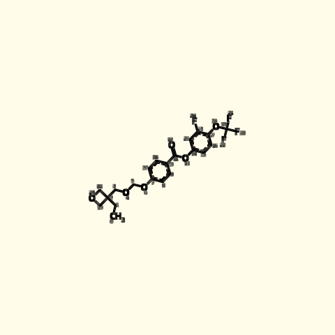 CCC1(COCOc2ccc(C(=O)Oc3ccc(OC(F)(F)F)c(F)c3)cc2)COC1